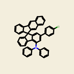 Clc1ccc(-c2cc(N(c3ccccc3)c3ccccc3)c3c(c2)C2(c4ccccc4-c4cc5ccccc5cc42)c2ccccc2-3)cc1